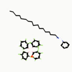 CCCCCCCCCCCCCCCCCC[NH+](C)c1ccccc1.Fc1c(F)c(F)c([B-](c2c(F)c(F)c(F)c(F)c2F)(c2c(F)c(F)c(F)c(F)c2F)c2c(F)c(F)c(F)c(F)c2F)c(F)c1F